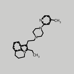 CCc1c(CCN2CCN(c3cc(C)ccn3)CC2)c2cccc3c2n1CCC3